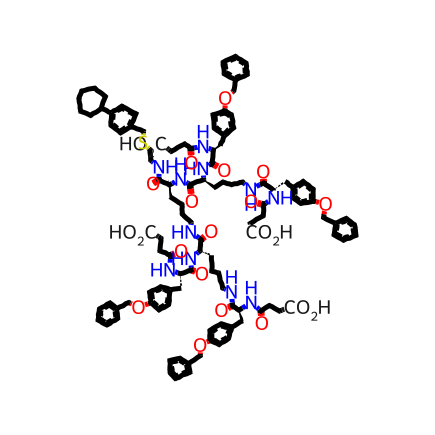 O=C(O)CCC(=O)N[C@@H](Cc1ccc(OCc2ccccc2)cc1)C(=O)NCCCC[C@H](NC(=O)[C@H](Cc1ccc(OCc2ccccc2)cc1)NC(=O)CCC(=O)O)C(=O)NCCCC[C@H](NC(=O)[C@H](CCCCNC(=O)[C@H](Cc1ccc(OCc2ccccc2)cc1)NC(=O)CCC(=O)O)NC(=O)[C@H](Cc1ccc(OCc2ccccc2)cc1)NC(=O)CCC(=O)O)C(=O)NCCSCc1ccc(C2CCCCCC2)cc1